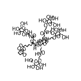 O=C(CC[C@H](NC(=O)CCCCC(=O)ON1C(=O)CCC1=O)C(=O)N[C@@H](CCC(=O)NCCO[C@H]1O[C@H](CO)[C@@H](O)[C@H](O)[C@@H]1O)C(=O)N[C@@H](CCC(=O)NCCO[C@H]1O[C@H](CO)[C@@H](O)[C@H](O)[C@@H]1O)C(=O)NCCO[C@H]1O[C@H](CO)[C@@H](O)[C@H](O)[C@@H]1O)NCCO[C@H]1O[C@H](CO)[C@@H](O)[C@H](O)[C@@H]1O